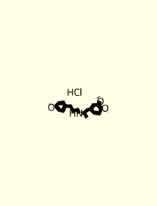 COc1ccc(CCCNC(C)Cc2ccc(OC)c(OC)c2)cc1.Cl